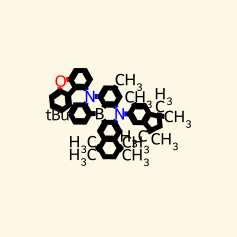 Cc1cc2c3c(c1)N(c1cccc4oc5ccccc5c14)c1cc(C(C)(C)C)ccc1B3c1cc3c(cc1N2c1cc2c(cc1C)C(C)(C)CC2(C)C)C(C)(C)CCC3(C)C